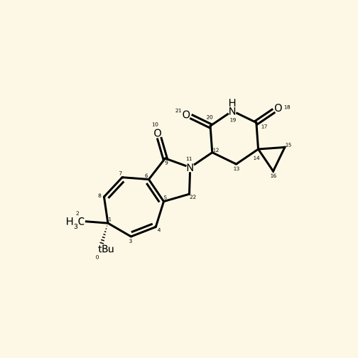 CC(C)(C)[C@@]1(C)C=CC2=C(C=C1)C(=O)N(C1CC3(CC3)C(=O)NC1=O)C2